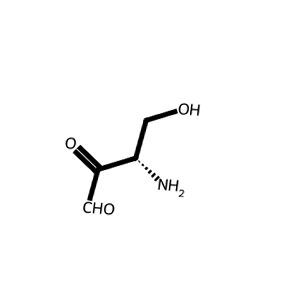 N[C@@H](CO)C(=O)C=O